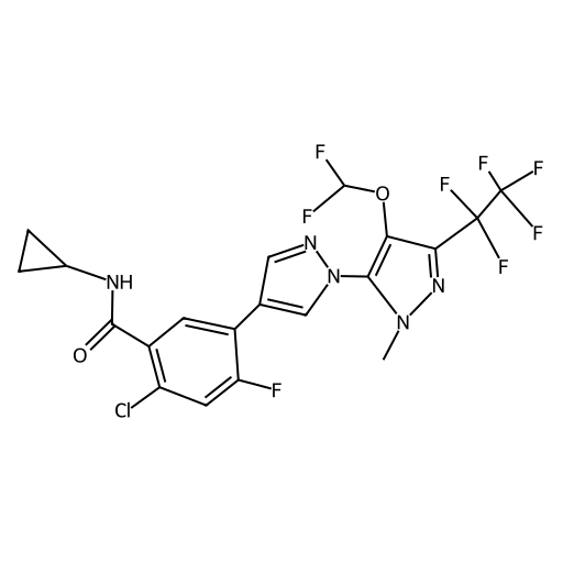 Cn1nc(C(F)(F)C(F)(F)F)c(OC(F)F)c1-n1cc(-c2cc(C(=O)NC3CC3)c(Cl)cc2F)cn1